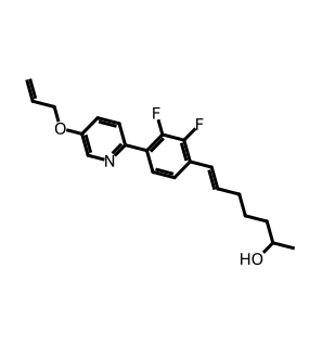 C=CCOc1ccc(-c2ccc(C=CCCCC(C)O)c(F)c2F)nc1